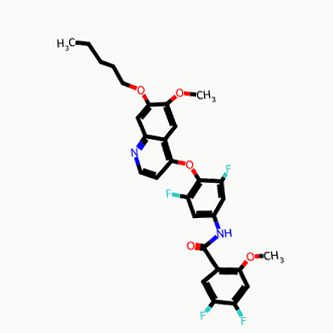 CCCCCOc1cc2nccc(Oc3c(F)cc(NC(=O)c4cc(F)c(F)cc4OC)cc3F)c2cc1OC